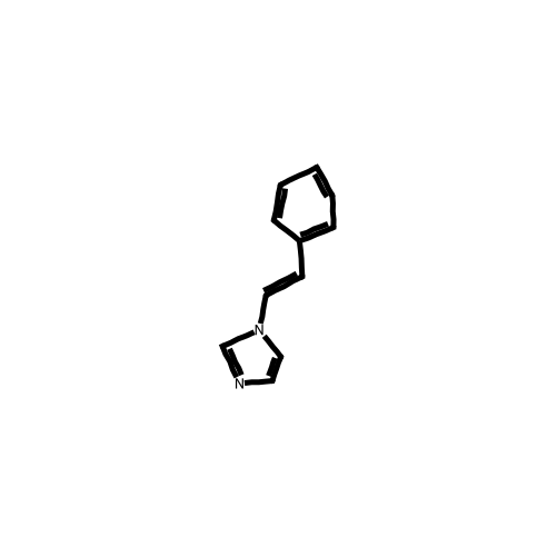 C(=C\n1ccnc1)/c1ccccc1